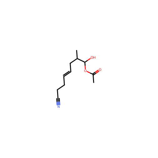 CC(=O)OC(O)C(C)C/C=C/CCC#N